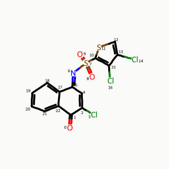 O=C1C(Cl)=CC(=NS(=O)(=O)c2scc(Cl)c2Cl)c2ccccc21